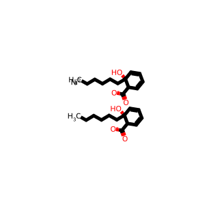 CCCCCCC1(O)C=CC=CC1C(=O)[O-].CCCCCCC1(O)C=CC=CC1C(=O)[O-].[Ni+2]